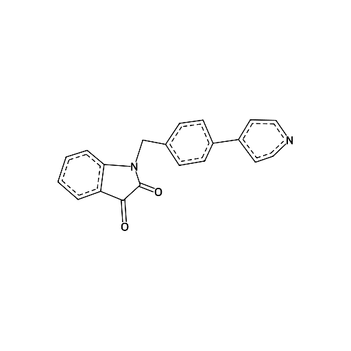 O=C1C(=O)N(Cc2ccc(-c3ccncc3)cc2)c2ccccc21